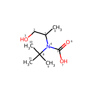 CC(CO)N(C(=O)O)C(C)(C)C